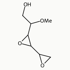 COC(CO)C1OC1C1CO1